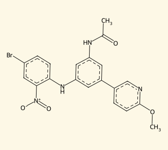 COc1ccc(-c2cc(NC(C)=O)cc(Nc3ccc(Br)cc3[N+](=O)[O-])c2)cn1